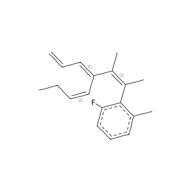 C=C/C=C(\C=C/CC)C(/C)=C(/C)c1c(C)cccc1F